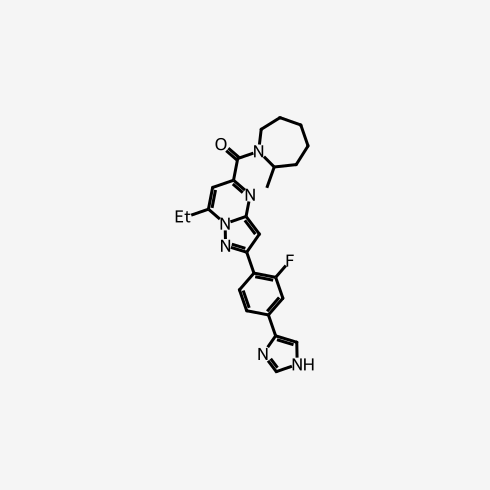 CCc1cc(C(=O)N2CCCCCC2C)nc2cc(-c3ccc(-c4c[nH]cn4)cc3F)nn12